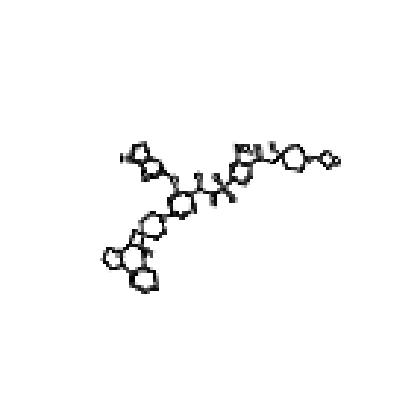 CC(C)c1ccccc1C1CCCN1C1CC2(CCN(c3cnc(C(=O)NS(=O)(=O)c4ccc(NCC5(F)CCN(C6COC6)CC5)c([N+](=O)[O-])c4)c(Oc4cnc5[nH]ccc5c4)c3)CC2)C1